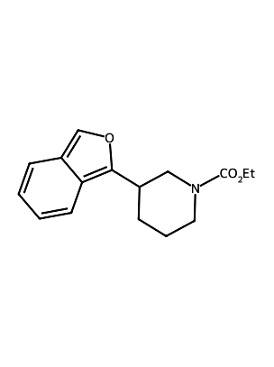 CCOC(=O)N1CCCC(c2occ3ccccc23)C1